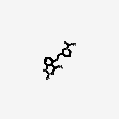 CC(C)C(=O)N1CCCC(COc2cccc3c2C(N)=N[S+]([O-])N3)C1